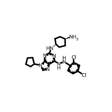 N[C@H]1CC[C@H](Nc2nc(NNc3ccc(Cl)cc3Cl)c3ncn(C4CCCC4)c3n2)CC1